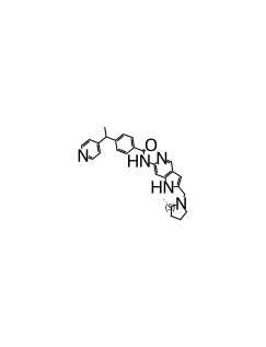 CC(c1ccncc1)c1ccc(C(=O)Nc2cc3[nH]c(CN4CCC[C@@H]4C)cc3cn2)cc1